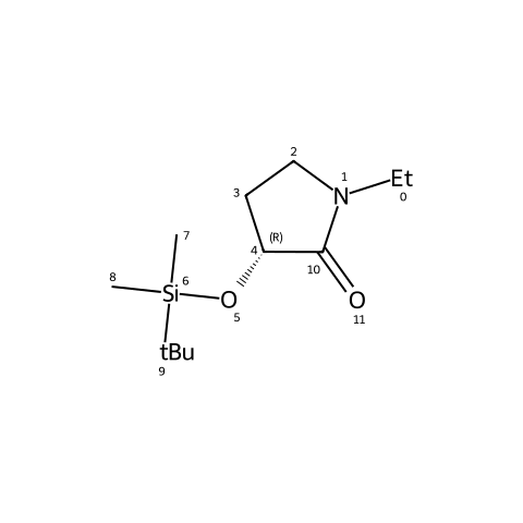 CCN1CC[C@@H](O[Si](C)(C)C(C)(C)C)C1=O